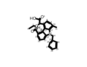 CCOC(C(=O)O)c1ccc(C)c2c1c1c(C(N)=O)cccc1n2Cc1ccccc1